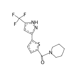 O=C(c1ccc(-c2cc(C(F)(F)F)[nH]n2)s1)N1CCCCC1